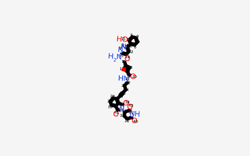 Nc1nnc(-c2ccccc2O)cc1OCC12CC(C(=O)NCCCC#Cc3cccc4c3C(=O)N(C3CCC(=O)NC3=O)C4=O)(C1)C2